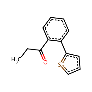 CCC(=O)c1ccccc1-c1cccs1